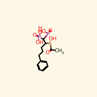 CC(=O)SC(CCCc1ccccc1)C(P(=O)(O)O)P(=O)(O)O